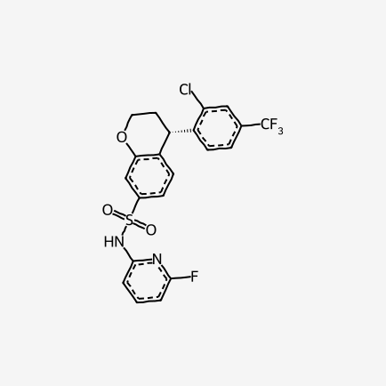 O=S(=O)(Nc1cccc(F)n1)c1ccc2c(c1)OCC[C@@H]2c1ccc(C(F)(F)F)cc1Cl